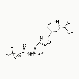 O=C(O)c1cc(-c2nc3cc(NC(=O)[C@H]4CC4(F)F)ccc3o2)ccn1